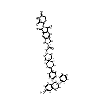 O=C1CCC(N2C(=O)c3cc4c(cc3C2=O)CN(C(=O)CN2CCC3(CC2)CCN(c2ccc([C@H]5c6ccc(O)cc6OC[C@H]5c5ccccc5)cc2)CC3)C4)C(=O)N1